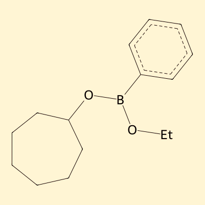 CCOB(OC1CCCCCC1)c1ccccc1